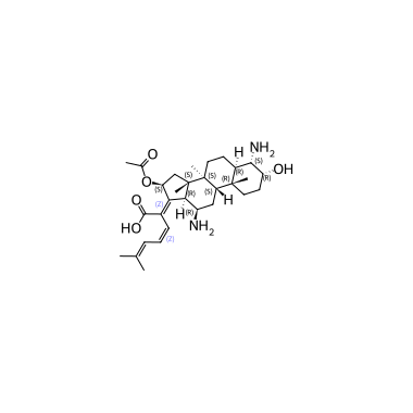 CC(=O)O[C@H]1C[C@@]2(C)[C@H](/C1=C(\C=C/C=C(C)C)C(=O)O)[C@H](N)C[C@H]1[C@@]3(C)CC[C@@H](O)[C@@H](N)[C@@H]3CC[C@@]12C